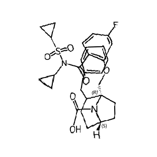 O=C(O)N1[C@H]2CCC(Cc3ccccc3)[C@@]1(COc1cc(F)ccc1C(=O)N(C1CC1)S(=O)(=O)C1CC1)CC2